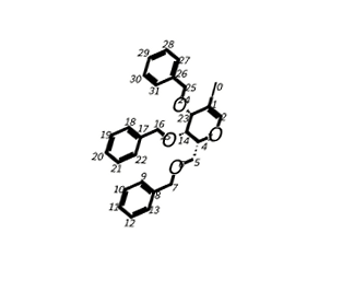 IC1=CO[C@H](COCc2ccccc2)[C@H](OCc2ccccc2)[C@@H]1OCc1ccccc1